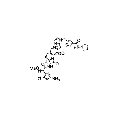 CO/N=C(\C(=O)N[C@@H]1C(=O)N2C(C(=O)[O-])=C(C[n+]3ccc4n(Cc5cc(C(=O)NN6CCCC6)cs5)ccn43)CS[C@H]12)c1nc(N)sc1Cl